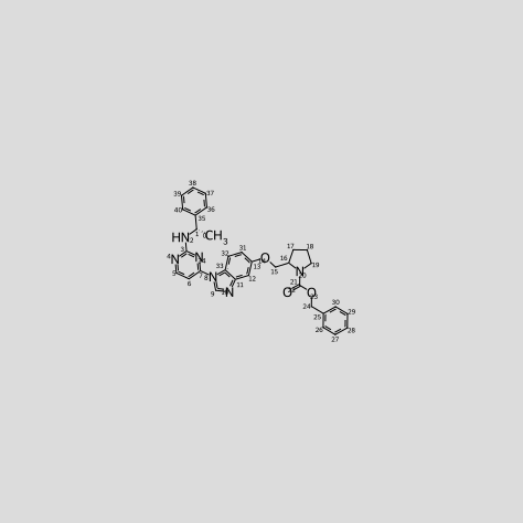 C[C@H](Nc1nccc(-n2cnc3cc(OCC4CCCN4C(=O)OCc4ccccc4)ccc32)n1)c1ccccc1